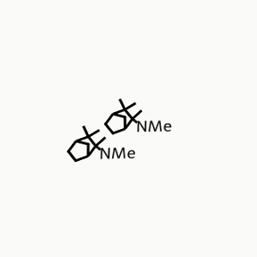 CNC1(C)C2CCC(C2)C1(C)C.CNC1(C)C2CCC(C2)C1(C)C